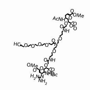 C#CCOCCOCCOCCOCCC(=O)N(CCOCCCNC(=O)CO[C@@H]([C@@H]1OC(C(=O)OC)=CC[C@H]1NC(C)=O)[C@H]1COC(=O)O1)CCOCCCNC(=O)CO[C@@H]([C@@H]1OC(C(=O)OC)=C[C@H](N=C(N)N)C1NC(C)=O)[C@H]1COC(=O)O1